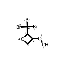 COC1COC1C(Br)(Br)Br